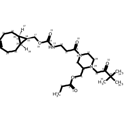 CCC(=O)OCC1CN(C(=O)CCNC(=O)OC[C@@H]2[C@@H]3CC/C=C\CC[C@@H]32)CCN1CC(=O)C(C)(C)C